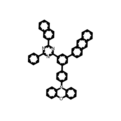 c1ccc(-c2nc(-c3cc(-c4ccc(N5c6ccccc6Oc6ccccc65)cc4)cc(-c4ccc5cc6ccccc6cc5c4)c3)nc(-c3ccc4ccccc4c3)n2)cc1